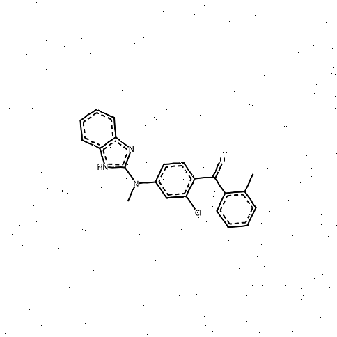 Cc1ccccc1C(=O)c1ccc(N(C)c2nc3ccccc3[nH]2)cc1Cl